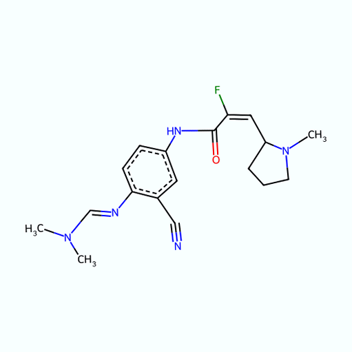 CN(C)C=Nc1ccc(NC(=O)/C(F)=C\C2CCCN2C)cc1C#N